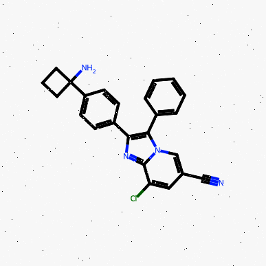 N#Cc1cc(Cl)c2nc(-c3ccc(C4(N)CCC4)cc3)c(-c3ccccc3)n2c1